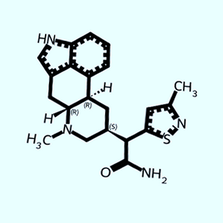 Cc1cc(C(C(N)=O)[C@@H]2C[C@@H]3c4cccc5[nH]cc(c45)C[C@H]3N(C)C2)sn1